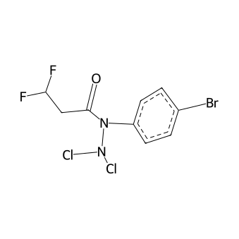 O=C(CC(F)F)N(c1ccc(Br)cc1)N(Cl)Cl